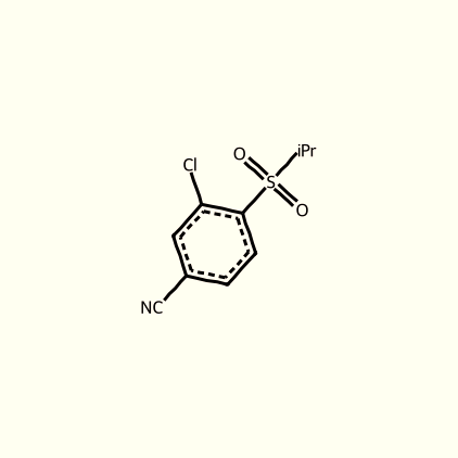 CC(C)S(=O)(=O)c1ccc(C#N)cc1Cl